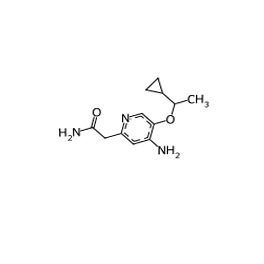 CC(Oc1cnc(CC(N)=O)cc1N)C1CC1